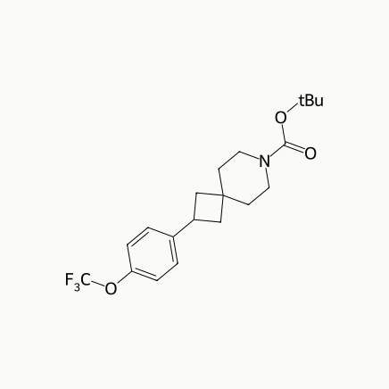 CC(C)(C)OC(=O)N1CCC2(CC1)CC(c1ccc(OC(F)(F)F)cc1)C2